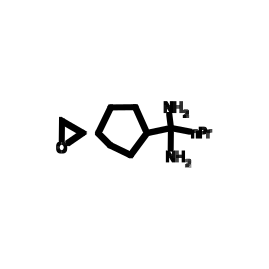 C1CO1.CCCC(N)(N)C1CCCCC1